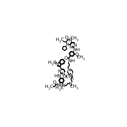 C=CC(=O)Nc1cc(Nc2nccc(-c3cn(C)c4ccccc34)n2)c(OC)cc1N(C)CCN(C)CCCN1CCN(CCCNC(=O)c2ccc(Nc3ncc4c(n3)N(C3CCCC3)C(CC)C(=O)N4C)c(OC)c2)CC1